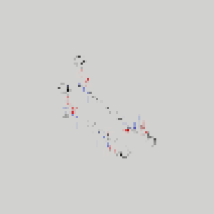 CCC(C)C(NC(=O)OCc1ccccc1)C(=O)NCCCCCCCCCCCCNC(=O)C(NC(=O)OCc1ccccc1)C(C)CC.CCC(C)C(NC(=O)OCc1ccccc1)C(=O)NCCCCCCCNC(=O)C(NC(=O)OCc1ccccc1)C(C)CC